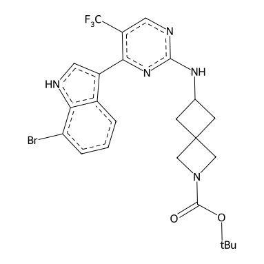 CC(C)(C)OC(=O)N1CC2(CC(Nc3ncc(C(F)(F)F)c(-c4c[nH]c5c(Br)cccc45)n3)C2)C1